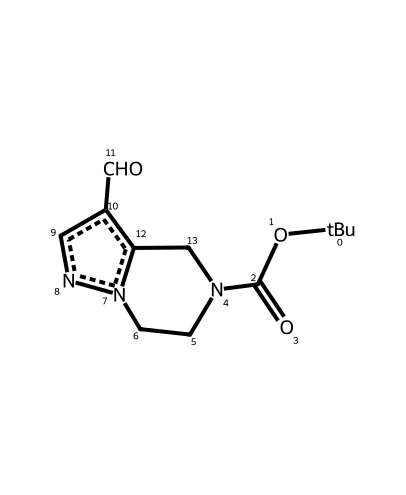 CC(C)(C)OC(=O)N1CCn2ncc(C=O)c2C1